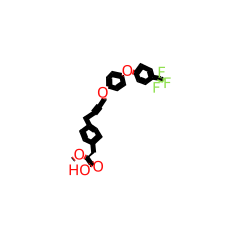 CO[C@@H](Cc1ccc(CC#CCOc2ccc(Oc3ccc(C(F)(F)F)cc3)cc2)cc1)C(=O)O